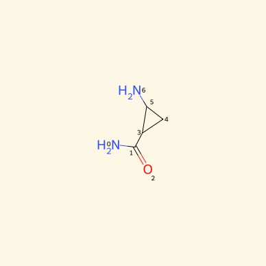 NC(=O)C1CC1N